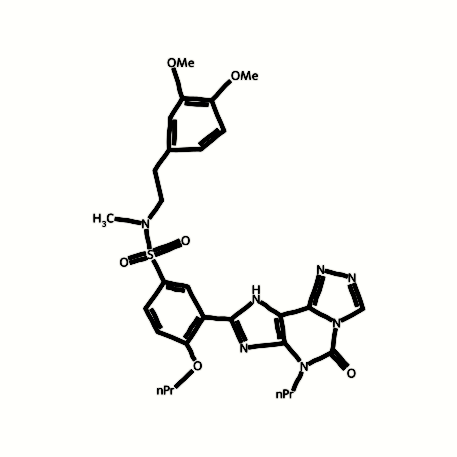 CCCOc1ccc(S(=O)(=O)N(C)CCc2ccc(OC)c(OC)c2)cc1-c1nc2c([nH]1)c1nncn1c(=O)n2CCC